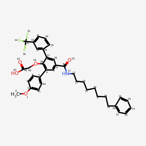 COc1ccc(-c2cc(C(=O)NCCCCCCCCc3ccccc3)cc(-c3cccc(C(F)(F)F)c3)c2OCC(=O)O)cc1